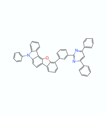 c1ccc(-c2cc(-c3ccccc3)nc(-c3cccc(-c4cccc5c4oc4c5ccc5c4c4ccccc4n5-c4ccccc4)c3)n2)cc1